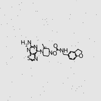 C[C@H]1CN(OC(=O)NCc2ccc3c(c2)CCO3)CCN1c1nc(N)nc2scnc12